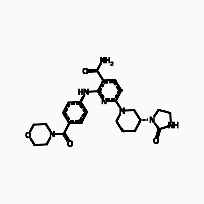 NC(=O)c1ccc(N2CCC[C@@H](N3CCNC3=O)C2)nc1Nc1ccc(C(=O)N2CCOCC2)cc1